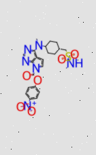 CNS(=O)(=O)CC1CCC(N(C)c2ncnc3c2ccn3C(=O)Oc2ccc([N+](=O)[O-])cc2)CC1